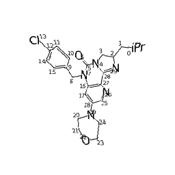 CC(C)CC1CN2C(=O)N(Cc3ccc(Cl)cc3)c3cc(N4CCOCC4)cnc3C2=N1